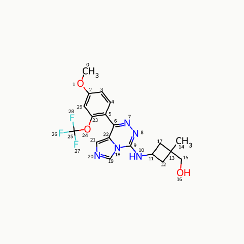 COc1ccc(-c2nnc(NC3CC(C)(CO)C3)n3cncc23)c(OC(F)(F)F)c1